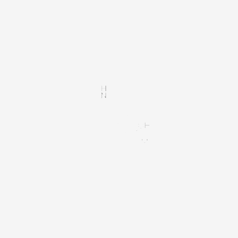 C=CC(C(=O)O)C(c1ccccc1)(c1ccccc1)[C@@H]1CCNC1